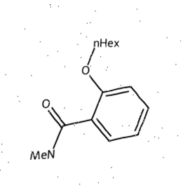 CCCCCCOc1ccccc1C(=O)NC